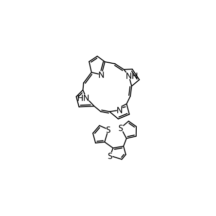 C1=Cc2cc3ccc(cc4nc(cc5ccc(cc1n2)[nH]5)C=C4)[nH]3.c1csc(-c2ccsc2-c2cccs2)c1